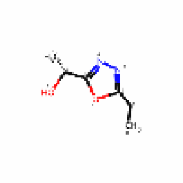 CCc1nnc([C@@H](C)O)o1